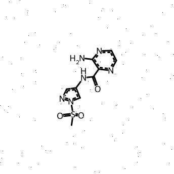 CS(=O)(=O)n1cc(NC(=O)c2nccnc2N)cn1